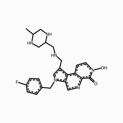 CC1CNC(CNCc2cn(Cc3ccc(F)cc3)c3cnc4c(=O)n(O)ccc4c23)CN1